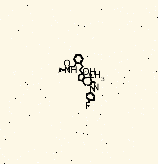 CC1C2=C(CC[C@@]2(O)CCc2ccccc2CC(=O)NC2CC2)Cc2c1cnn2-c1ccc(F)cc1